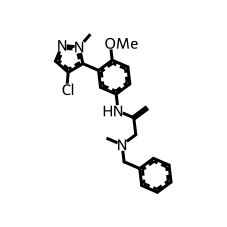 C=C(CN(C)Cc1ccccc1)Nc1ccc(OC)c(-c2c(Cl)cnn2C)c1